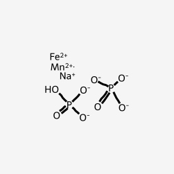 O=P([O-])([O-])O.O=P([O-])([O-])[O-].[Fe+2].[Mn+2].[Na+]